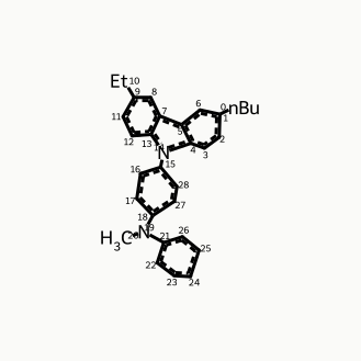 CCCCc1ccc2c(c1)c1cc(CC)ccc1n2-c1ccc(N(C)c2ccccc2)cc1